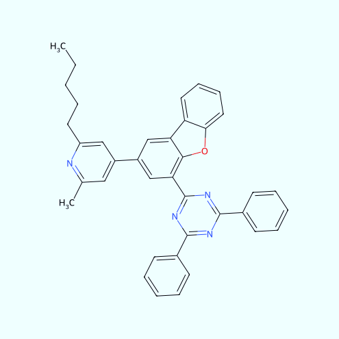 CCCCCc1cc(-c2cc(-c3nc(-c4ccccc4)nc(-c4ccccc4)n3)c3oc4ccccc4c3c2)cc(C)n1